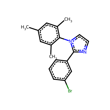 Cc1cc(C)c(-n2ccnc2-c2cccc(Br)c2)c(C)c1